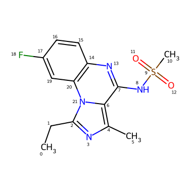 CCc1nc(C)c2c(NS(C)(=O)=O)nc3ccc(F)cc3n12